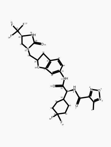 Cc1nonc1C(=O)N[C@H](C(=O)Nc1ccc2c(c1)OC(CN1C[C@@H](C(F)(F)F)NC1=O)C2)C1CCC(F)(F)CC1